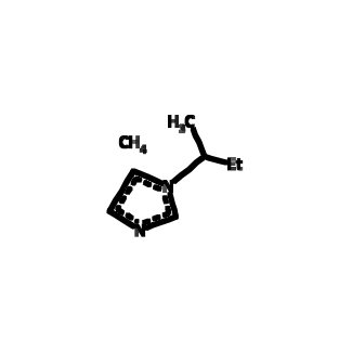 C.CCC(C)n1ccnc1